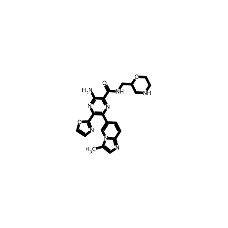 Cc1cnc2ccc(-c3nc(C(=O)NCC4CNCCO4)c(N)nc3-c3ncco3)cn12